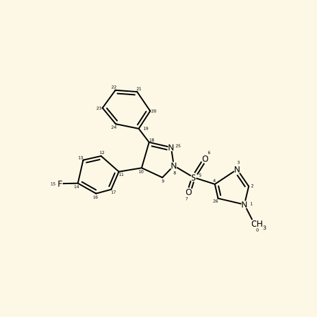 Cn1cnc(S(=O)(=O)N2CC(c3ccc(F)cc3)C(c3ccccc3)=N2)c1